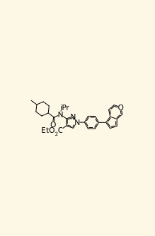 CCOC(=O)c1cn(-c2ccc(-c3ccc4coccc3-4)cc2)nc1N(C(=O)C1CCC(C)CC1)C(C)C